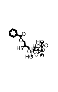 O=C(OCC(S)COP(=O)(O)OP(=O)(O)OP(=O)(O)O)c1ccccc1